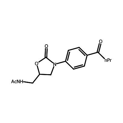 CCCC(=O)c1ccc(N2CC(CNC(C)=O)OC2=O)cc1